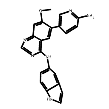 COc1cc2ncnc(Nc3ccc4[nH]ccc4c3)c2cc1-c1ccc(N)nc1